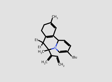 C=CC(=C)C1(C)N2C=C(C(C)(C)C)C=CC2C2=C(CCC(C)=C2)C1(CC)CC